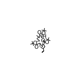 C=CC1CC(C(=O)OC(C)(C)C)N([C@@H](CSC(C)NC(=O)OC(C)(C)C)C(=O)OC(C)(C)C)C1